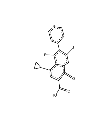 O=C(O)c1cn(C2CC2)c2c(F)c(-c3ccncc3)c(F)cc2c1=O